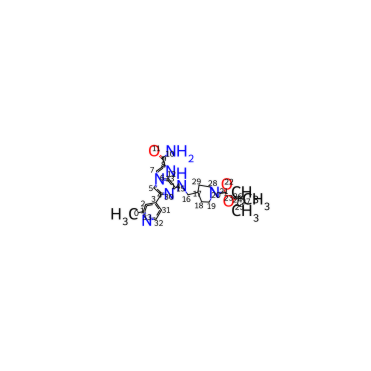 Cc1cc(-c2cn3cc(C(N)=O)nc3c(NCC3CCN(C(=O)OC(C)(C)C)CC3)n2)ccn1